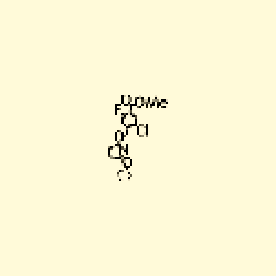 COC(=O)c1cc(Cl)c(COc2cccc(OC3CCCC3)n2)cc1F